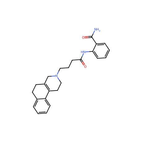 NC(=O)c1ccccc1NC(=O)CCCN1CCC2=C(CCc3ccccc32)C1